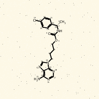 C[C@H](NC(=O)OCCCCn1cnc2c(N)ncnc21)c1ccc(Cl)cc1